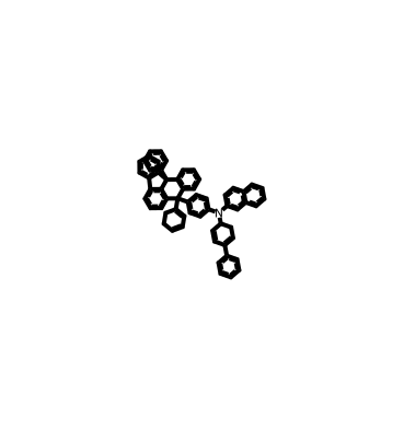 C1=CCCC(C2(c3ccc(N(c4ccc5ccccc5c4)C4C=CC(c5ccccc5)=CC4)cc3)c3ccccc3C3(c4ccccc4)c4ccccc4-c4cccc2c43)=C1